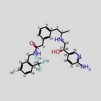 CC(Cc1cccc(CC(=O)NCc2cc(F)ccc2C(F)(F)F)c1)NC[C@H](O)c1ccc(N)nc1